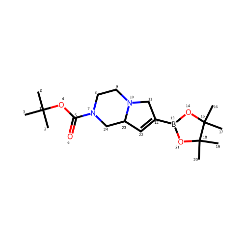 CC(C)(C)OC(=O)N1CCN2CC(B3OC(C)(C)C(C)(C)O3)=CC2C1